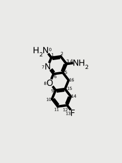 Nc1cc(N)c2c(n1)Oc1ccc(F)cc1C2